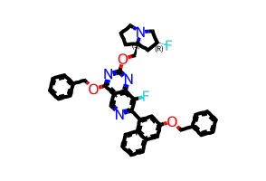 Fc1c(-c2cc(OCc3ccccc3)cc3ccccc23)ncc2c(OCc3ccccc3)nc(OC[C@@]34CCCN3C[C@H](F)C4)nc12